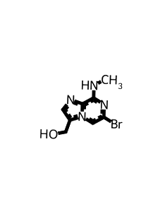 CNc1nc(Br)cn2c(CO)cnc12